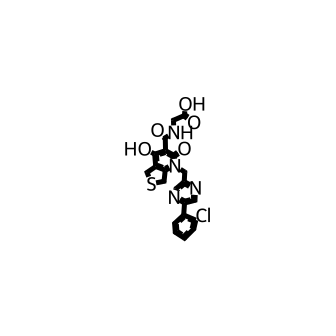 O=C(O)CNC(=O)c1c(O)c2c(n(Cc3cnc(-c4ccccc4Cl)cn3)c1=O)CSC2